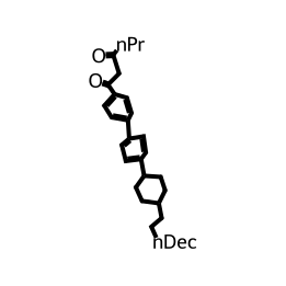 CCCCCCCCCCCCC1CCC(c2ccc(-c3ccc(C(=O)CC(=O)CCC)cc3)cc2)CC1